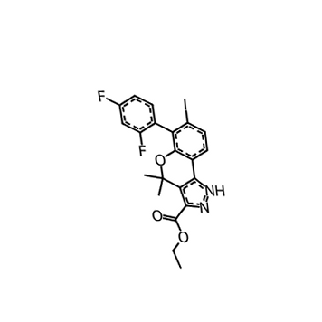 CCOC(=O)c1n[nH]c2c1C(C)(C)Oc1c-2ccc(I)c1-c1ccc(F)cc1F